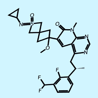 COC1(c2cc3c(C[C@H](C)c4cccc(C(F)F)c4F)ncnc3n(C)c2=O)CC2(C1)CS(=O)(=NC1CC1)C2